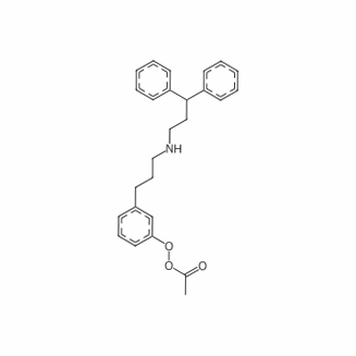 CC(=O)OOc1cccc(CCCNCCC(c2ccccc2)c2ccccc2)c1